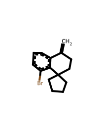 C=C1CCC2(CCCC2)c2c(Br)cccc21